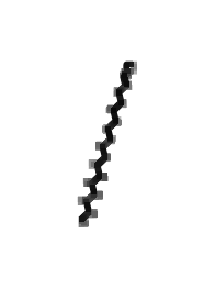 C=CCCCCCCCCCCCCCCC.[C]